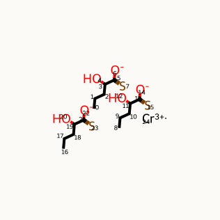 CCCC(O)C([O-])=S.CCCC(O)C([O-])=S.CCCC(O)C([O-])=S.[Cr+3]